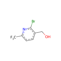 OCc1ccc(C(F)(F)F)nc1Br